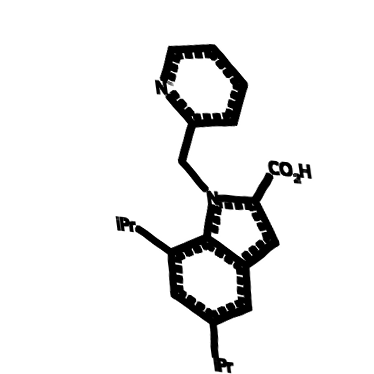 CC(C)c1cc(C(C)C)c2c(c1)cc(C(=O)O)n2Cc1ccccn1